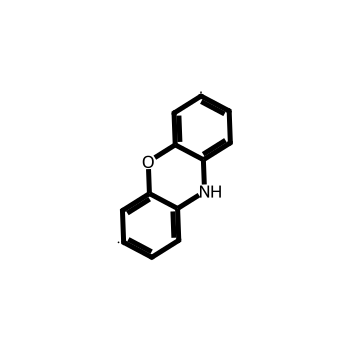 [c]1ccc2c(c1)Oc1c[c]ccc1N2